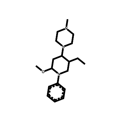 CCC1CN(c2ccccc2)C(OC)CC1N1CCN(C)CC1